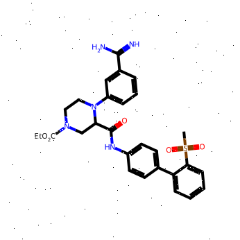 CCOC(=O)N1CCN(c2cccc(C(=N)N)c2)C(C(=O)Nc2ccc(-c3ccccc3S(C)(=O)=O)cc2)C1